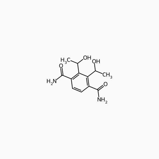 CC(O)c1c(C(N)=O)ccc(C(N)=O)c1C(C)O